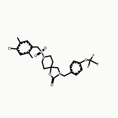 Cc1cc(CS(=O)(=O)N2CCC3(CC2)CN(Cc2ccc(SC(F)(F)F)cc2)C(=O)O3)c(C)cc1Cl